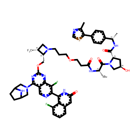 Cc1ncsc1-c1ccc([C@H](C)NC(=O)[C@@H]2C[C@@H](O)CN2C(=O)[C@@H](NC(=O)CCOCCCN2C[C@@H](C(F)(F)F)[C@H]2COc2nc(N3CC4CCC(C3)N4)c3cnc(-c4[nH]c(=O)cc5cccc(F)c45)c(F)c3n2)C(C)(C)C)cc1